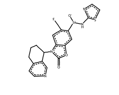 O=c1oc2cc([S+]([O-])Nc3nccs3)c(F)cc2n1C1CCCc2ccncc21